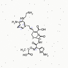 C[C@H](O/N=C(\C(=O)N[C@@H]1C(=O)N2C(C(=O)O)=C(/C=C/C[N+]3=C/C(NCCN)=C(N)\C=C\C=C\3)CSC12)c1csc(N)n1)C(=O)O